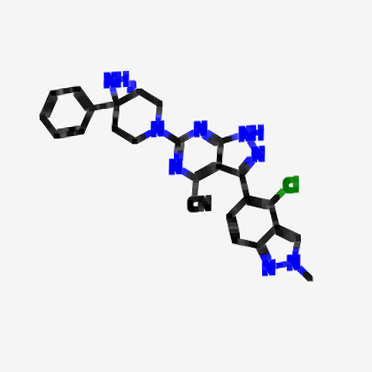 Cn1cc2c(Cl)c(-c3n[nH]c4nc(N5CCC(N)(c6ccccc6)CC5)nc(C#N)c34)ccc2n1